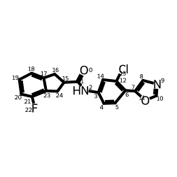 O=C(Nc1ccc(-c2cnco2)c(Cl)c1)C1Cc2cccc(F)c2C1